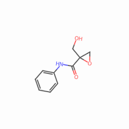 O=C(Nc1ccccc1)C1(CO)CO1